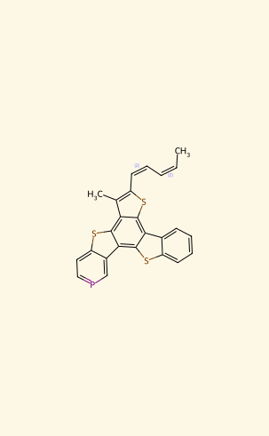 C/C=C\C=C/c1sc2c(c1C)c1sc3ccpcc3c1c1sc3ccccc3c21